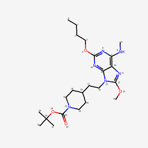 CCCCOc1nc(NC)c2nc(OC)n(CCC3CCN(C(=O)OC(C)(C)C)CC3)c2n1